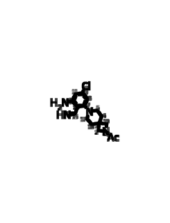 CC(=O)N1CC2(CCN(c3cc(Cl)cc(N)c3C=N)CC2)C1